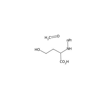 C=O.CCCNC(CCO)C(=O)O